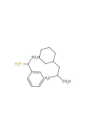 CC(CC1CCCCC1)C(=O)O.O=S(=O)(O)C(P)c1ccccc1